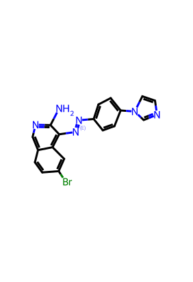 Nc1ncc2ccc(Br)cc2c1/N=N/c1ccc(-n2ccnc2)cc1